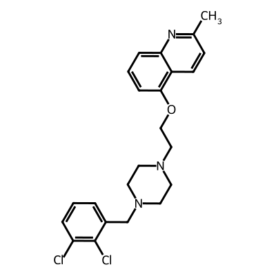 Cc1ccc2c(OCCN3CCN(Cc4cccc(Cl)c4Cl)CC3)cccc2n1